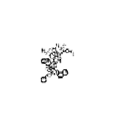 CCC(C)CNC(=O)C[C@H](O)[C@H](CC(C)C)NC(=O)C(Cc1cccs1)NC(=O)[C@H](Cc1cccc2ccccc12)NC(=O)OCc1ccccc1